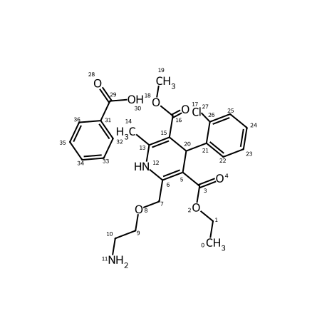 CCOC(=O)C1=C(COCCN)NC(C)=C(C(=O)OC)C1c1ccccc1Cl.O=C(O)c1ccccc1